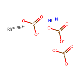 O=S([O-])[O-].O=S([O-])[O-].O=S([O-])[O-].[N].[N].[Rh+3].[Rh+3]